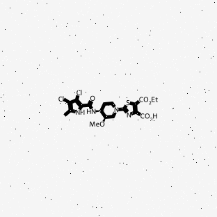 CCOC(=O)c1sc(N2CC[C@H](NC(=O)c3[nH]c(C)c(Cl)c3Cl)[C@H](OC)C2)nc1C(=O)O